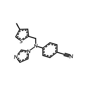 Cc1csc(CN(c2ccc(C#N)cc2)n2ccnc2)c1